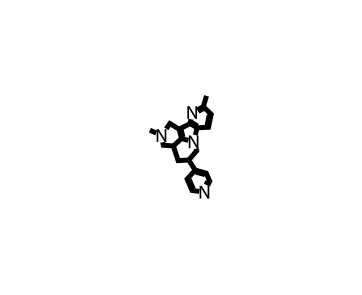 Cc1ccc2c(n1)c1c3n2CC(c2ccncc2)CC3CN(C)C1